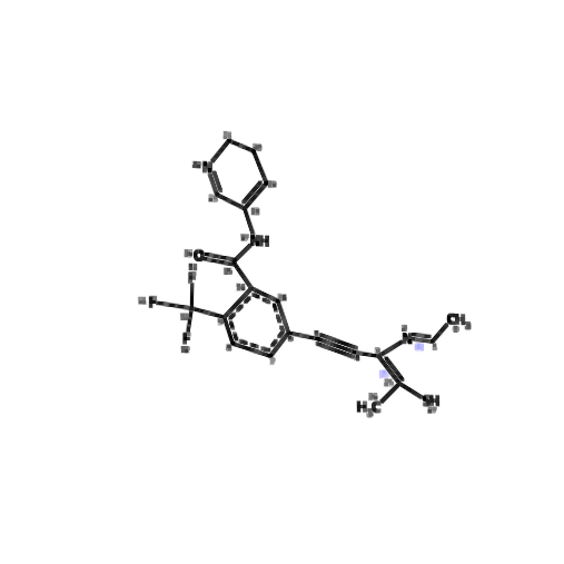 C/C=N/C(C#Cc1ccc(C(F)(F)F)c(C(=O)NC2=CCCN=C2)c1)=C(/C)S